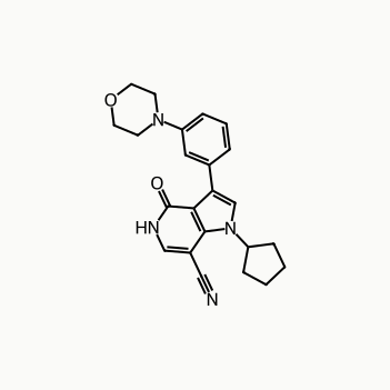 N#Cc1c[nH]c(=O)c2c(-c3cccc(N4CCOCC4)c3)cn(C3CCCC3)c12